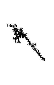 CC(C)(C)C(=O)Oc1ccc2c(c1)Oc1cc(OC(=O)C(C)(C)C)ccc1C21OC(=O)c2cc(C(=O)NCCCCCC(=O)NCCOCCOCCCCCCCl)ccc21